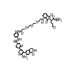 CNC(=O)C(CCC=O)N1C(=O)c2cccc(NCCOCCOCCOCCC(=O)Nc3cccc(N[S+]([O-])c4ccc(-c5cnc(N)c(-c6ccc7c(c6)CCNC7=O)c5)c(F)c4)c3)c2C1=O